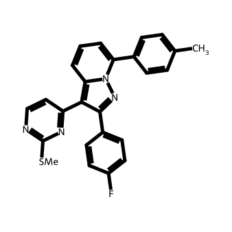 CSc1nccc(-c2c(-c3ccc(F)cc3)nn3c(-c4ccc(C)cc4)cccc23)n1